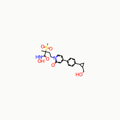 CC(CCn1ccc(-c2ccc(C3CC3CO)cc2)cc1=O)(C(=O)NO)S(C)(=O)=O